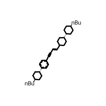 CCCC[C@H]1CC[C@H](c2ccc(C#C/C=C/C3CCC([C@H]4CC[C@H](CCCC)CC4)CC3)cc2)CC1